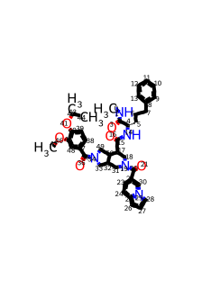 CNC(=O)[C@H](CCCc1ccccc1)NC(=O)C1CN(C(=O)c2ccc3cccn3c2)CC2CN(C(=O)c3ccc(OC(C)C)c(OC)c3)CC21